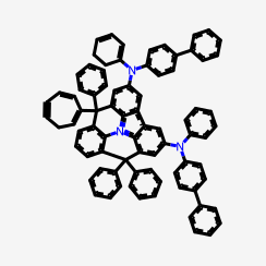 C1#CCC=C(C2(c3ccccc3)c3cccc4c3-n3c5c2cc(N(C2=CC=CCC2)c2ccc(-c6ccccc6)cc2)cc5c2cc(N(c5ccccc5)c5ccc(-c6ccccc6)cc5)cc(c23)C4(c2ccccc2)c2ccccc2)C=C1